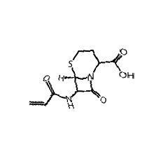 C=CC(=O)NC1C(=O)N2C(C(=O)O)CCS[C@@H]12